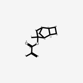 C=C(C)C(=O)OC1(C)CC2CC1C1CCC21